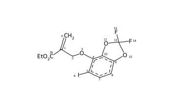 C=C(COc1c(I)ccc2c1OC(F)(F)O2)C(=O)OCC